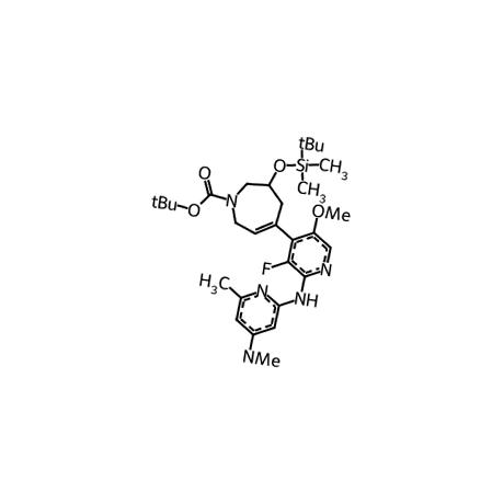 CNc1cc(C)nc(Nc2ncc(OC)c(C3=CCN(C(=O)OC(C)(C)C)CC(O[Si](C)(C)C(C)(C)C)C3)c2F)c1